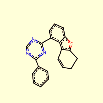 C1=Cc2c(oc3cccc(-c4ncnc(-c5ccccc5)n4)c23)CC1